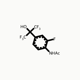 CC(=O)Nc1ccc(C(O)(C(F)(F)F)C(F)(F)F)cc1F